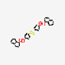 c1ccc2c(OOc3ccc(SSc4ccc(OOc5cccc6ccccc56)cc4)cc3)cccc2c1